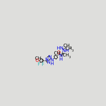 COc1ccc(-c2cnc3c(Nc4ccc(C(=O)N[C@H](C)CNC(=N)C(C)C)c(C)c4)nccn23)c(F)c1F